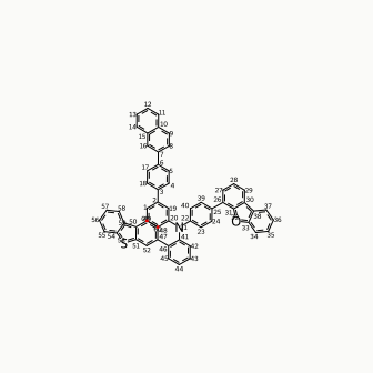 c1cc(-c2ccc(-c3ccc4ccccc4c3)cc2)cc(N(c2ccc(-c3cccc4c3oc3ccccc34)cc2)c2ccccc2-c2ccc3c(c2)sc2ccccc23)c1